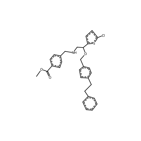 COC(=O)c1ccc(CNCC(OCc2ccc(CCc3ccccc3)cc2)c2ccc(Cl)s2)cc1